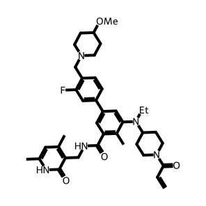 C=CC(=O)N1CCC(N(CC)c2cc(-c3ccc(CN4CCC(OC)CC4)c(F)c3)cc(C(=O)NCc3c(C)cc(C)[nH]c3=O)c2C)CC1